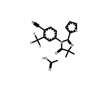 CC(=O)O.CC1(C)N=C(c2cccs2)N(c2ccc(C#N)c(C(F)(F)F)c2)C1=O